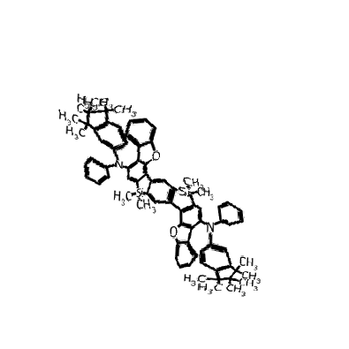 CC1(C)c2ccc(N(c3ccccc3)c3cc4c(c5oc6ccccc6c35)-c3cc5c(cc3[Si]4(C)C)-c3c(cc(N(c4ccccc4)c4ccc6c(c4)C(C)(C)C(C)(C)C6(C)C)c4c3oc3ccccc34)[Si]5(C)C)cc2C(C)(C)C1(C)C